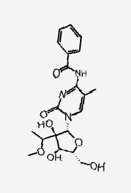 COC(C)[C@@]1(O)[C@H](O)[C@@H](CO)O[C@H]1n1cc(C)c(NC(=O)c2ccccc2)nc1=O